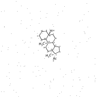 CC(=O)[C@H]1CCC2C3CC[C@H]4CCCC[C@]4(C)C3CC[C@@]21C